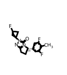 Cc1c(F)cc([C@@H]2CCc3nn(C45CC(F)(C4)C5)c(=O)n32)cc1F